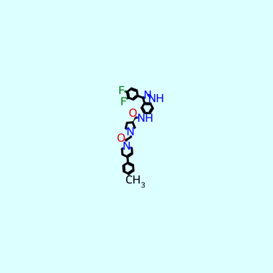 Cc1ccc(C2=CCN(C(=O)CN3CC[C@@H](C(=O)Nc4ccc5[nH]nc(-c6ccc(F)c(F)c6)c5c4)C3)CC2)cc1